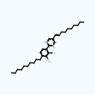 CCCCCCCC/C=C/c1cnc(-c2ccc(CCCCCCCCCC)c(F)c2F)nc1